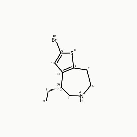 CC[C@H]1CNCCc2sc(Br)cc21